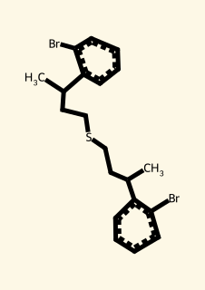 CC(CCSCCC(C)c1ccccc1Br)c1ccccc1Br